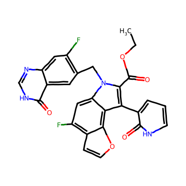 CCOC(=O)c1c(-c2ccc[nH]c2=O)c2c3occc3c(F)cc2n1Cc1cc2c(=O)[nH]cnc2cc1F